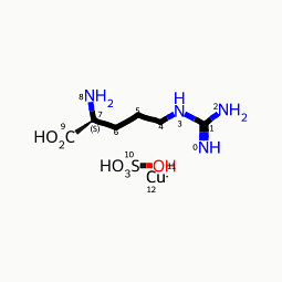 N=C(N)NCCC[C@H](N)C(=O)O.O=S(=O)(O)O.[Cu]